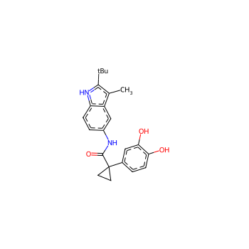 Cc1c(C(C)(C)C)[nH]c2ccc(NC(=O)C3(c4ccc(O)c(O)c4)CC3)cc12